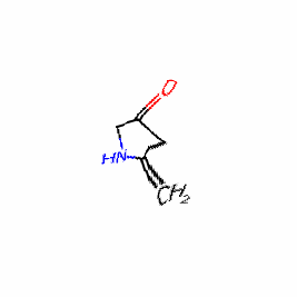 C=C1CC(=O)CN1